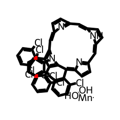 Clc1cccc(Cl)c1-c1c(-c2c(Cl)cccc2Cl)c2c(-c3c(Cl)cccc3Cl)c3nc(cc4ccc(cc5nc(cc1n2-c1c(Cl)cccc1Cl)C=C5)[nH]4)C=C3.OO.[Mn]